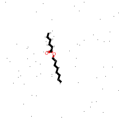 CCCCCCCCOC(=O)CCCCC